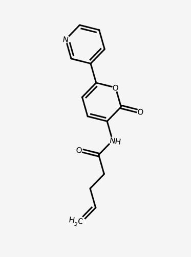 C=CCCC(=O)Nc1ccc(-c2cccnc2)oc1=O